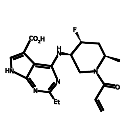 C=CC(=O)N1C[C@@H](Nc2nc(CC)nc3[nH]cc(C(=O)O)c23)[C@H](F)C[C@H]1C